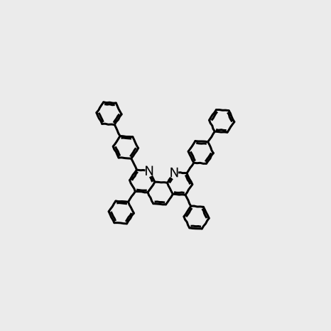 c1ccc(-c2ccc(-c3cc(-c4ccccc4)c4ccc5c(-c6ccccc6)cc(-c6ccc(-c7ccccc7)cc6)nc5c4n3)cc2)cc1